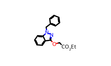 CCOC(=O)COc1nn(Cc2ccccc2)c2ccccc12